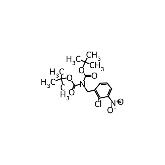 CC(C)(C)OC(=O)N(Cc1cccc([N+](=O)[O-])c1Cl)C(=O)OC(C)(C)C